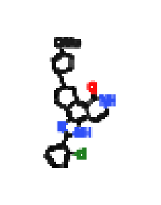 COc1ccc(-c2ccc3c(c2)c2c(=O)[nH]ccc2c2[nH]c(-c4ccccc4Cl)nc32)cc1